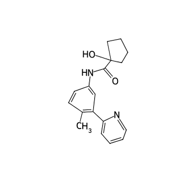 Cc1ccc(NC(=O)C2(O)CCCC2)cc1-c1ccccn1